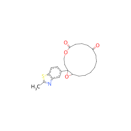 Cc1nc2cc(C34CCOC(=O)CCCC(=O)CCCCCCC3O4)ccc2s1